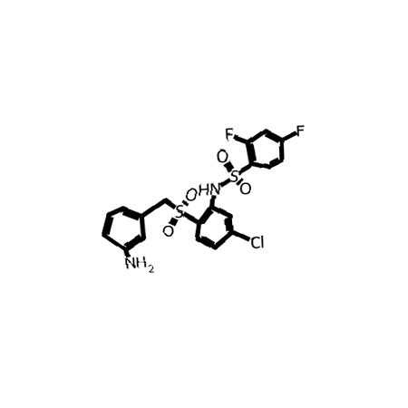 Nc1cccc(CS(=O)(=O)c2ccc(Cl)cc2NS(=O)(=O)c2ccc(F)cc2F)c1